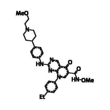 CCc1ccc(-n2cc(C(=O)NOC)c(=O)c3cnc(Nc4ccc(C5CCN(CCOC)CC5)cc4)nc32)cc1